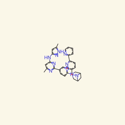 Cc1cc(Nc2cc(C)[nH]n2)nc(-c2ccc(N3CC4CC(C3)N4Cc3ccc(-c4ccccn4)nc3)nc2)n1